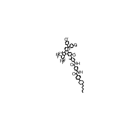 CCCCCC1CCC(c2ccc(C(=O)Nc3ccc(C(=O)Nc4ccc(-c5cc6c7c(c8c(c6cc5OC)OC(c5ccc(OC)cc5)(c5ccc(OC)cc5)C=C8)C(C)(C)c5c-7cc(C(F)(F)F)cc5C(F)(F)F)c(C)c4)cc3)cc2)CC1